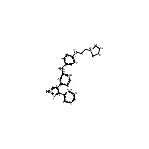 c1ccc(-c2n[nH]cc2-c2ccnc(Nc3ccc(OCCN4CCCC4)cc3)c2)nc1